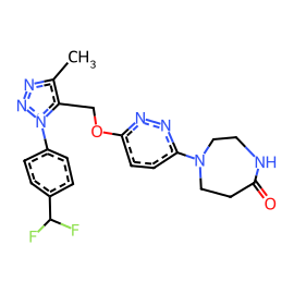 Cc1nnn(-c2ccc(C(F)F)cc2)c1COc1ccc(N2CCNC(=O)CC2)nn1